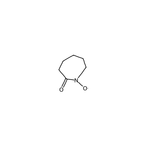 [O]N1CCCCCC1=O